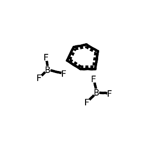 FB(F)F.FB(F)F.c1ccccc1